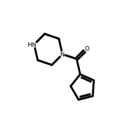 O=C(C1=CC=CC1)N1CCNCC1